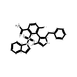 NC(=O)c1ccc(F)c(-c2c(F)csc2Cc2ccccc2)c1S(=O)(=O)n1ccc2ccccc21